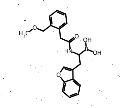 COCc1ccccc1CC(=O)NC(Cc1coc2ccccc12)B(O)O